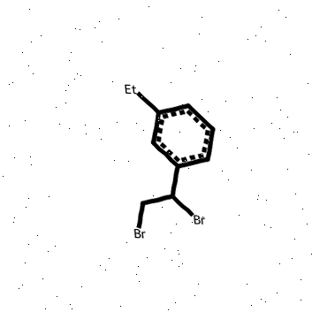 CCc1cccc(C(Br)CBr)c1